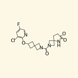 O=C(N1CC2(CC(Oc3ncc(F)cc3Cl)C2)C1)N1CC2(CCS(=O)(=O)N2)C1